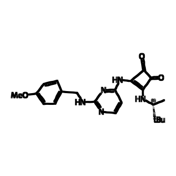 COc1ccc(CNc2nccc(Nc3c(N[C@H](C)C(C)(C)C)c(=O)c3=O)n2)cc1